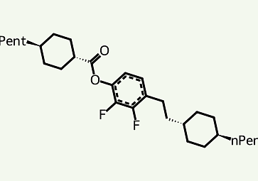 CCCCC[C@H]1CC[C@H](CCc2ccc(OC(=O)[C@H]3CC[C@H](CCCCC)CC3)c(F)c2F)CC1